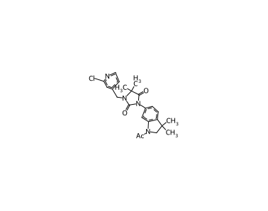 CC(=O)N1CC(C)(C)c2ccc(N3C(=O)N(Cc4ccnc(Cl)c4)C(C)(C)C3=O)cc21